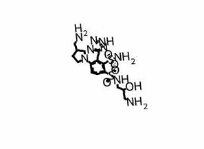 NCC(O)CNS(=O)(=O)c1ccc(N2CCC(CN)C2)c(-c2nn[nH]n2)c1S(N)(=O)=O